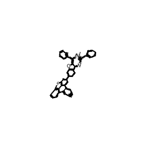 c1ccc(-c2nc(-c3ccccc3)c3oc4cc(-c5cc6sc7cccc8c9ccccc9c(c5)c6c78)ccc4c3n2)cc1